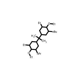 CCCCC1CC(C(C)(C)C2CC(CC)C(OCC)C(CCC)C2)CC(CC)C1OCC